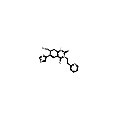 COC1Cc2[nH]c(=S)n(CCc3ccccn3)c(=O)c2C=C1c1cnco1